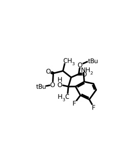 CC(C(=O)OC(C)(C)C)C(C(=O)OC(C)(C)C)C(C)(O)c1c(N)ccc(F)c1F